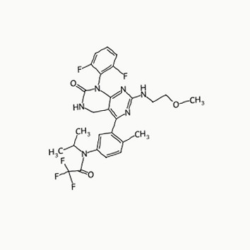 COCCNc1nc(-c2cc(N(C(=O)C(F)(F)F)C(C)C)ccc2C)c2c(n1)N(c1c(F)cccc1F)C(=O)NC2